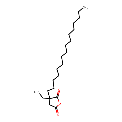 CCCCCCCCCCCCCCCCC1(CC)CC(=O)OC1=O